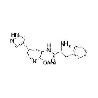 COc1ncc(-c2cn[nH]c2)cc1NC(=O)[C@@H](N)Cc1ccccc1